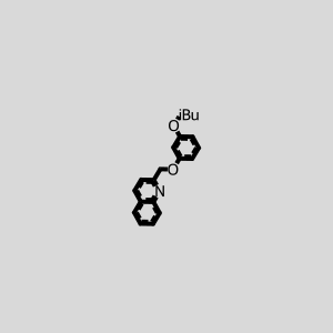 CCC(C)Oc1cccc(OCc2ccc3ccccc3n2)c1